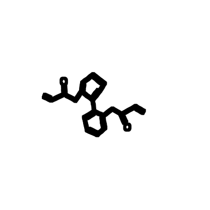 C=CC(=O)Cc1ccccc1-c1ccccc1CC(=O)C=C